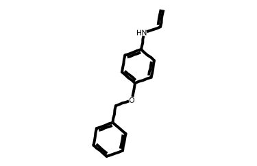 C=CNc1ccc(OCc2ccccc2)cc1